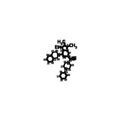 CCn1c(C)c(C)c2cc(C(=O)N3CCN(c4ccccc4)CC3)nc(N3CCc4ccccc4C3)c21.Cl